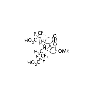 COc1ccc2c3c1O[C@H]1C(=O)CC[C@H]4[C@@H](C2)N(C)CC[C@]314.O=C(O)C(F)(F)C(F)(F)F.O=C(O)C(F)(F)C(F)(F)F